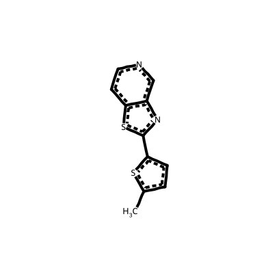 Cc1ccc(-c2nc3cnccc3s2)s1